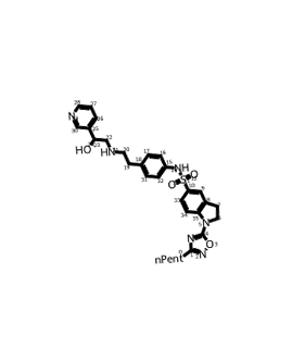 CCCCCc1noc(N2CCc3cc(S(=O)(=O)Nc4ccc(CCNCC(O)c5cccnc5)cc4)ccc32)n1